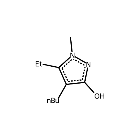 CCCCc1c(O)nn(C)c1CC